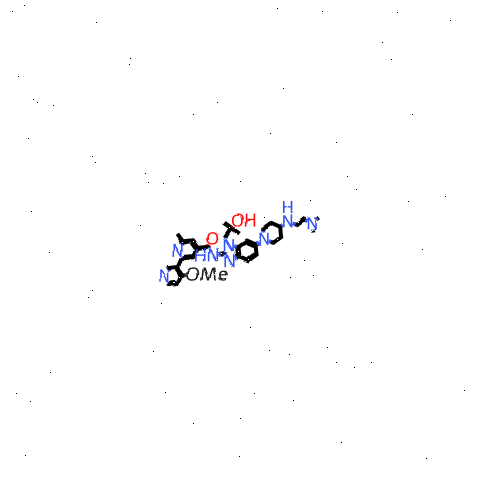 COc1ccncc1-c1cc(C(=O)Nc2nc3ccc(N4CCC(NCCN(C)C)CC4)cc3n2CC(C)(C)O)cc(C)n1